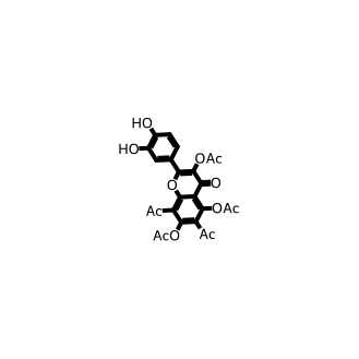 CC(=O)Oc1c(C(C)=O)c(OC(C)=O)c2c(=O)c(OC(C)=O)c(-c3ccc(O)c(O)c3)oc2c1C(C)=O